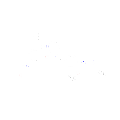 COc1cc(/C=C2\CCCN([C@H](c3ccc(N4CCOCC4)cc3)C3CC3)C2=O)ccc1-n1cnc(C)c1